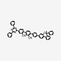 CC1(c2ccccc2)Oc2cc(-c3ccc(-c4ccc(-c5ccc(-c6nc(-c7ccccc7)nc(-c7ccccc7)n6)cc5C#N)cc4C#N)cc3)ccc2-c2ccccc21